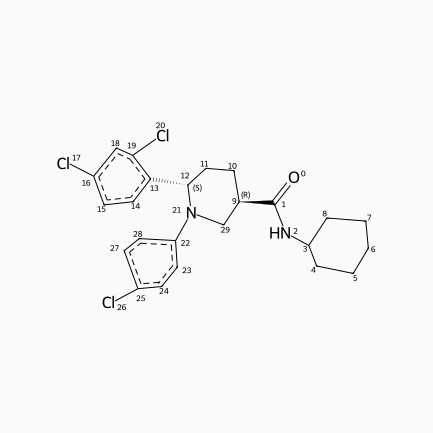 O=C(NC1CCCCC1)[C@@H]1CC[C@@H](c2ccc(Cl)cc2Cl)N(c2ccc(Cl)cc2)C1